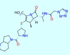 CC(NC(=O)Cn1cnnn1)[C@H]1C(=O)N2C(C(=O)O)=C(S[C@@H]3CN[C@H](C(=O)N4CCC5NCCCC54)C3)[C@H](C)[C@H]12